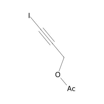 CC(=O)OCC#CI